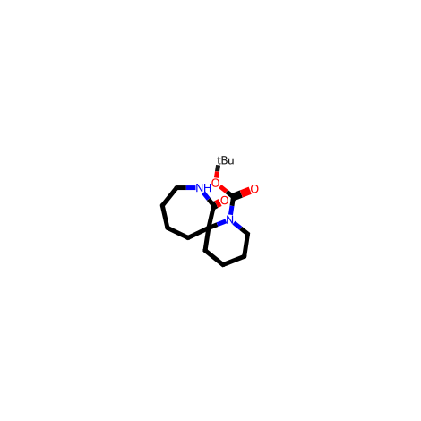 CC(C)(C)OC(=O)N1CCCCC12CCCCNC2=O